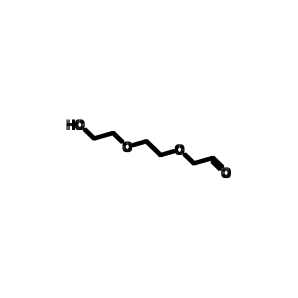 O=CCOCCOCCO